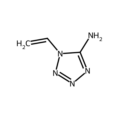 C=Cn1nnnc1N